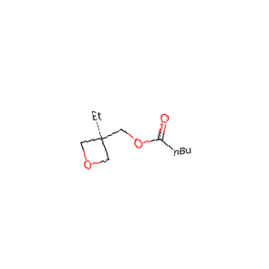 CCCCC(=O)OCC1(CC)COC1